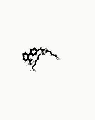 CCCCCCn1nc(CCCC)nc1Cc1ccc(-c2ccccc2-c2nnn[nH]2)cc1